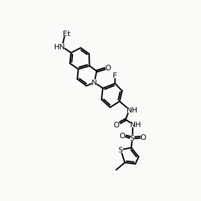 CCNc1ccc2c(=O)n(-c3ccc(NC(=O)NS(=O)(=O)c4ccc(C)s4)cc3F)ccc2c1